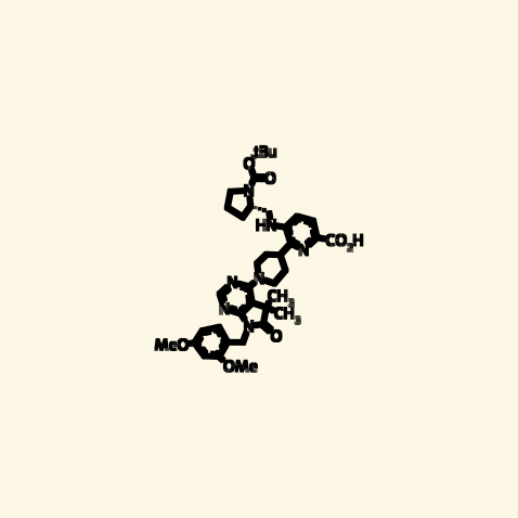 COc1ccc(CN2C(=O)C(C)(C)c3c(N4CCC(c5nc(C(=O)O)ccc5NC[C@@H]5CCCN5C(=O)OC(C)(C)C)CC4)ncnc32)c(OC)c1